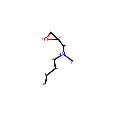 CCCCN(C)CC1CO1